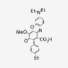 CCc1ccc(-c2c(C(=O)O)c3nc4ccc(N(CC)CC)cc4oc-3c(OC)c2=O)cc1